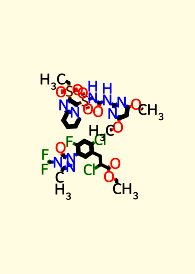 CCOC(=O)C(Cl)Cc1cc(-n2nc(C)n(C(F)F)c2=O)c(F)cc1Cl.CCS(=O)(=O)c1nc2ccccn2c1S(=O)(=O)NC(=O)Nc1nc(OC)cc(OC)n1